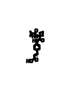 CC(C)C(=O)NC1(C(=O)Nc2ccc(/C=C/C(=O)O)cc2)CCC1